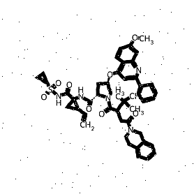 C=CC1CC1(NC(=O)[C@@H]1C[C@@H](Oc2cc(-c3ccccc3)nc3cc(OC)ccc23)CN1C(=O)C(CC(=O)N1CCc2ccccc2C1)C(C)(C)C)C(=O)NS(=O)(=O)C1CC1